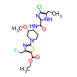 CCOC(=O)c1sc(N2CC[C@@H](NC(=O)c3nc(Cl)c(CC)[nH]3)[C@@H](OC)C2)nc1CF